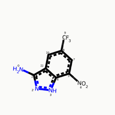 Nc1n[nH]c2c([N+](=O)[O-])cc(C(F)(F)F)cc12